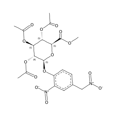 COC(=O)[C@H]1O[C@@H](Oc2ccc(C[N+](=O)[O-])cc2[N+](=O)[O-])[C@H](OC(C)=O)[C@@H](OC(C)=O)[C@@H]1OC(C)=O